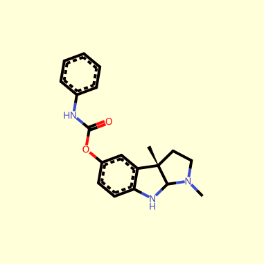 CN1CC[C@@]2(C)c3cc(OC(=O)Nc4ccccc4)ccc3NC12